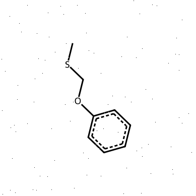 CSCOc1ccccc1